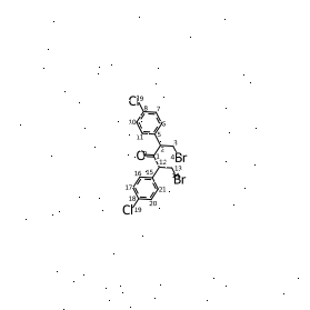 O=C(C(CBr)c1ccc(Cl)cc1)C(CBr)c1ccc(Cl)cc1